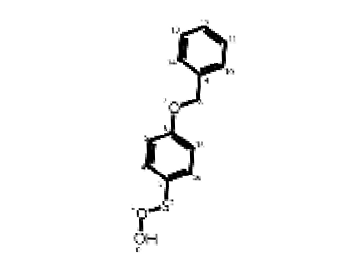 OOSc1ccc(OCc2ccccc2)cc1